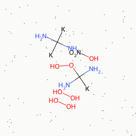 N[C](N)([K])OO.N[C](N)([K])[K].O=[N+]([O-])O.OO.OO